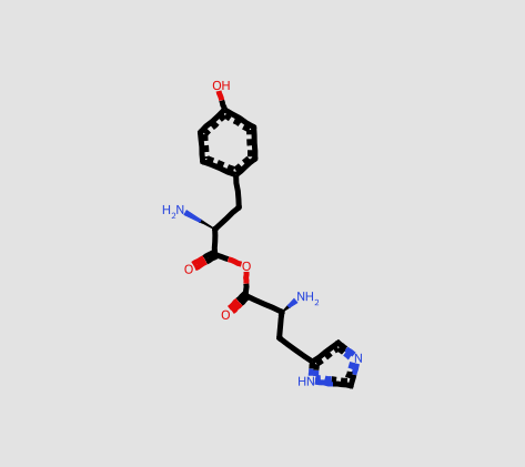 N[C@@H](Cc1ccc(O)cc1)C(=O)OC(=O)[C@@H](N)Cc1cnc[nH]1